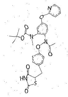 CC(=O)N(Oc1ccc(CC2SC(=O)NC2=O)cc1)c1ccc(Oc2ccccn2)cc1N(C)C(=O)OC(C)(C)C